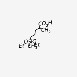 C=C(CCC[Si](C)(OCC)OCC)C(=O)O